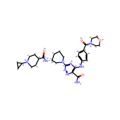 NC(=O)c1nnc(N2CCC[C@@H](NC(=O)C3CCN(C4CC4)CC3)C2)nc1Nc1ccc(C(=O)N2CCOCC2)cc1